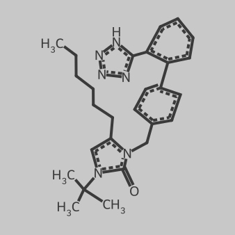 CCCCCCc1cn(C(C)(C)C)c(=O)n1Cc1ccc(-c2ccccc2-c2nnn[nH]2)cc1